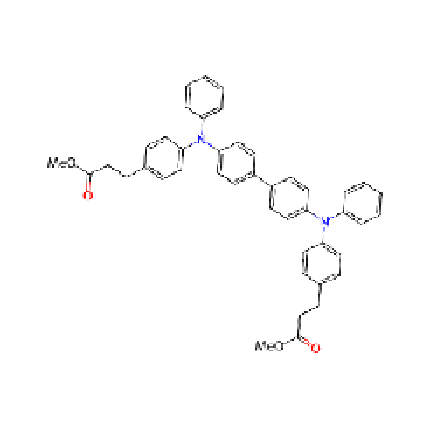 COC(=O)CCc1ccc(N(c2ccccc2)c2ccc(-c3ccc(N(c4ccccc4)c4ccc(CCC(=O)OC)cc4)cc3)cc2)cc1